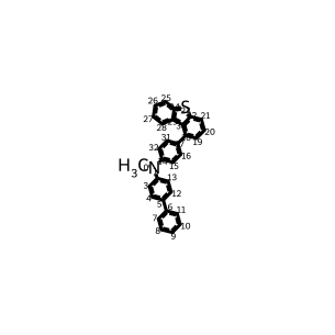 CN(c1ccc(-c2ccccc2)cc1)c1ccc(-c2cccc3sc4ccccc4c23)cc1